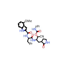 CCCNC(=O)OC(C#N)C(CC1CCNC1=O)NC(=O)C(CC(C)C)NC(=O)c1cc2c(OC)cccc2[nH]1